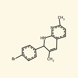 CC1=Cc2ccc(C)nc2NC1c1ccc(Br)cc1